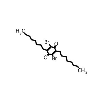 CCCCCCCCC1=C(Br)C(=O)C(CCCCCCCC)=C(Br)C1=O